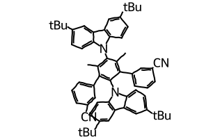 Cc1c(-c2cccc(C#N)c2)c(-n2c3ccc(C(C)(C)C)cc3c3cc(C(C)(C)C)ccc32)c(-c2cccc(C#N)c2)c(C)c1-n1c2ccc(C(C)(C)C)cc2c2cc(C(C)(C)C)ccc21